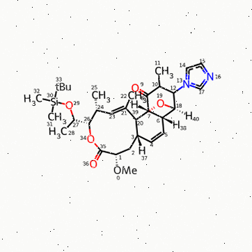 CO[C@H]1C[C@H]2C=C[C@@H]3[C@H]4C(=O)C(C)C(n5ccnc5)[C@@H]3O[C@@]24/C(C)=C/[C@@H](C)[C@@H](C(C)O[Si](C)(C)C(C)(C)C)OC1=O